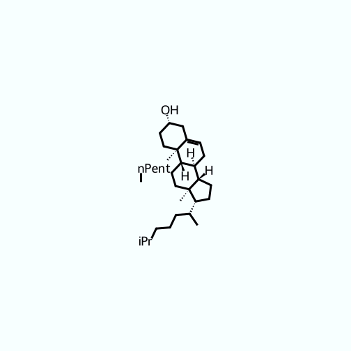 CC(C)CCCC(C)[C@H]1CC[C@H]2[C@@H]3CC=C4C[C@@H](O)CC[C@]4(C)[C@H]3CC[C@]12C.CCCCCC